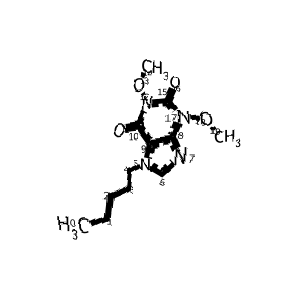 CCCCCn1cnc2c1c(=O)n(OC)c(=O)n2OC